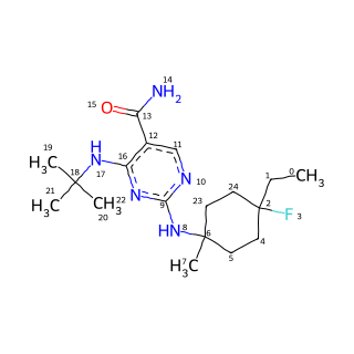 CCC1(F)CCC(C)(Nc2ncc(C(N)=O)c(NC(C)(C)C)n2)CC1